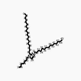 CCCCCCCCCCCCCCCCCCCc1n(CCCCCCC)cc[n+]1CCCCCCCCCCCCCCC